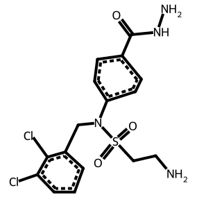 NCCS(=O)(=O)N(Cc1cccc(Cl)c1Cl)c1ccc(C(=O)NN)cc1